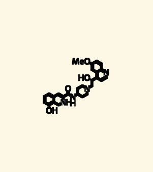 COc1ccc2nccc([C@@H](O)CN3CCC(NC(=O)C4=Cc5cccc(O)c5CN4)CC3)c2c1